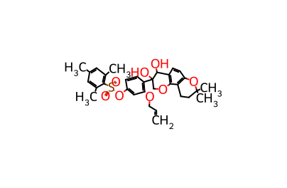 C=CCOc1cc(OS(=O)(=O)c2c(C)cc(C)cc2C)ccc1C1(O)COc2c(ccc3c2CCC(C)(C)O3)C1O